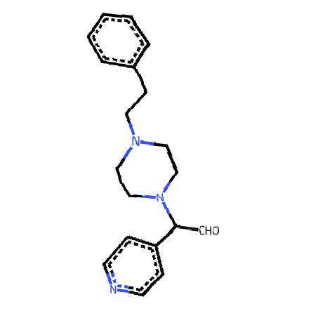 O=CC(c1ccncc1)N1CCN(CCc2ccccc2)CC1